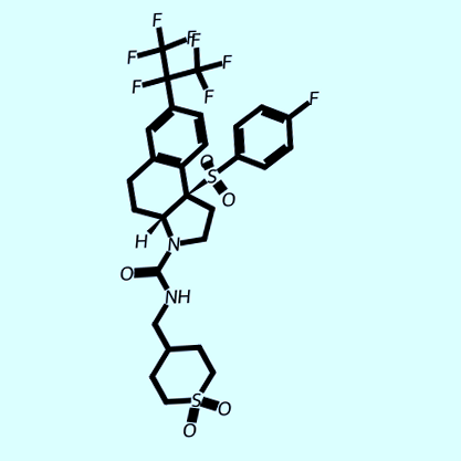 O=C(NCC1CCS(=O)(=O)CC1)N1CC[C@@]2(S(=O)(=O)c3ccc(F)cc3)c3ccc(C(F)(C(F)(F)F)C(F)(F)F)cc3CC[C@@H]12